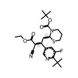 CCOC(=O)/C(C#N)=C(\C=C1/SCCCN1C(=O)OC(C)(C)C)c1cnc(C(C)(C)C)c(F)c1